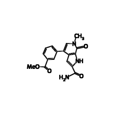 COC(=O)c1cccc(-c2cn(C)c(=O)c3[nH]c(C(N)=O)cc23)c1